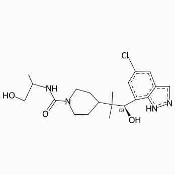 CC(CO)NC(=O)N1CCC(C(C)(C)[C@H](O)c2cc(Cl)cc3cn[nH]c23)CC1